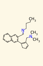 CCCCN=Cc1cc2ccccc2cc1C1=C(CN(C)C)C=CC1